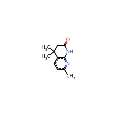 Cc1ccc2c(n1)NC(=O)CC2(C)C